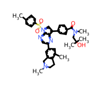 Cc1ccc(S(=O)(=O)n2cc(-c3ccc(C(=O)N(C)CC(C)(C)O)cc3)c3nc(-c4cc(C)c5c(c4)CN(C)CC5)cnc32)cc1